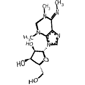 CN=C1c2ncn([C@@H]3O[C@H](CO)[C@@H](O)[C@H]3O)c2N(C)CN1C